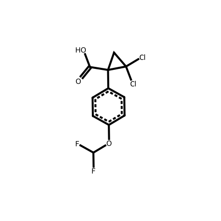 O=C(O)C1(c2ccc(OC(F)F)cc2)CC1(Cl)Cl